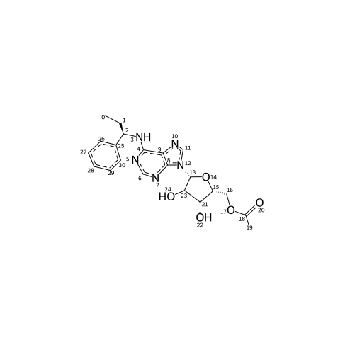 CC[C@@H](Nc1ncnc2c1ncn2[C@@H]1O[C@H](COC(C)=O)[C@H](O)C1O)c1ccccc1